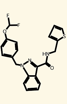 O=C(NCc1cccs1)c1nn(Cc2ccc(OC(F)F)cc2)c2ccccc12